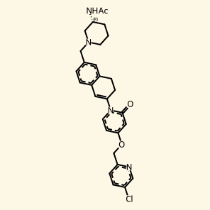 CC(=O)N[C@@H]1CCCN(Cc2ccc3c(c2)CCC(n2ccc(OCc4ccc(Cl)cn4)cc2=O)=C3)C1